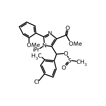 COC(=O)c1nc(-c2ccccc2OC)n(C(C)C)c1C(OS(C)=O)c1ccc(Cl)cc1C